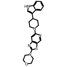 c1ccc2c(C3CCN(c4cc5nc(N6CCOCC6)sc5cn4)CC3)c[nH]c2c1